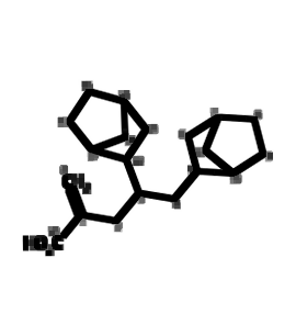 C=C(CC(CC1CC2CCC1C2)C1CC2CCC1C2)C(=O)O